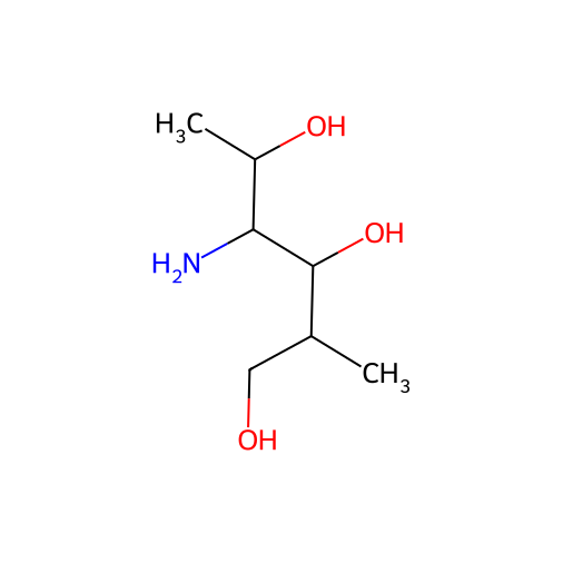 CC(O)C(N)C(O)C(C)CO